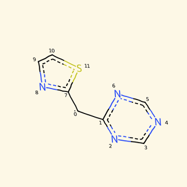 [CH](c1ncncn1)c1nccs1